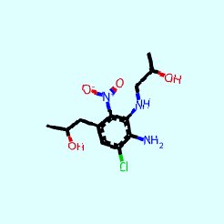 CC(O)CNc1c(N)c(Cl)cc(CC(C)O)c1[N+](=O)[O-]